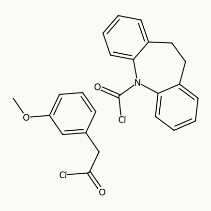 COc1cccc(CC(=O)Cl)c1.O=C(Cl)N1c2ccccc2CCc2ccccc21